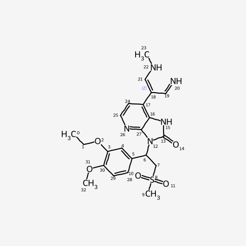 CCOc1cc(C(CS(C)(=O)=O)n2c(=O)[nH]c3c(/C(C=N)=C/NC)ccnc32)ccc1OC